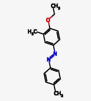 CCOc1ccc(N=Nc2ccc(C)cc2)cc1C